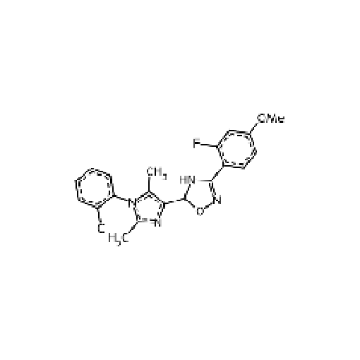 COc1ccc(C2=NOC(c3nc(C)n(-c4ccccc4Cl)c3C)N2)c(F)c1